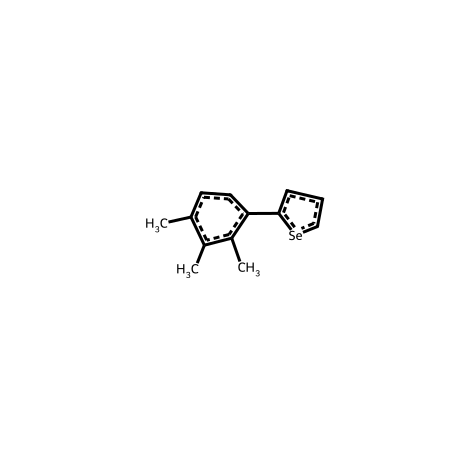 Cc1ccc(-c2ccc[se]2)c(C)c1C